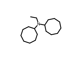 CCN(C1CCCCCCC1)C1CCCCCCC1